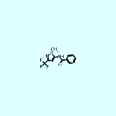 Cn1nc(C(F)(F)F)cc1NC(=O)c1ccccc1